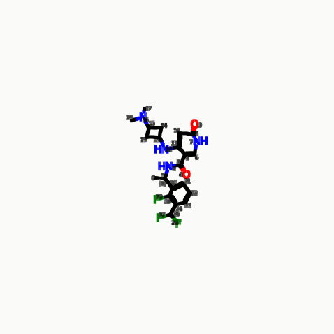 C[C@@H](NC(=O)c1c[nH]c(=O)cc1NC1CC(N(C)C)C1)c1cccc(C(F)F)c1F